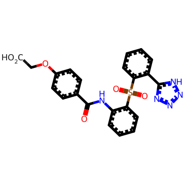 O=C(O)COc1ccc(C(=O)Nc2ccccc2S(=O)(=O)c2ccccc2-c2nnn[nH]2)cc1